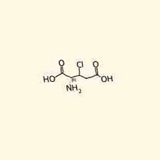 N[C@H](C(=O)O)C(Cl)CC(=O)O